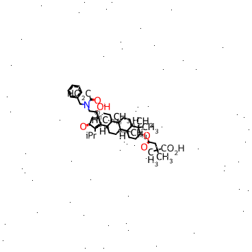 CC(C)C1=C2[C@H]3CC[C@@H]4[C@@]5(C)CC[C@H](OC(=O)CC(C)(C)C(=O)O)C(C)(C)[C@@H]5CC[C@@]4(C)[C@]3(C)CC[C@@]2([C@@H](O)CN(Cc2ccccc2)C(=O)C(=O)O)CC1=O